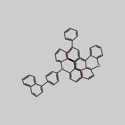 c1ccc(-c2ccc(-c3ccccc3N(c3ccc(-c4cccc5ccccc45)cc3)c3ccccc3-c3cc4c5c(cccc5c3)Oc3ccccc3-4)cc2)cc1